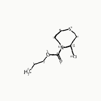 CCCOC(=O)N1CCSCC1Cl